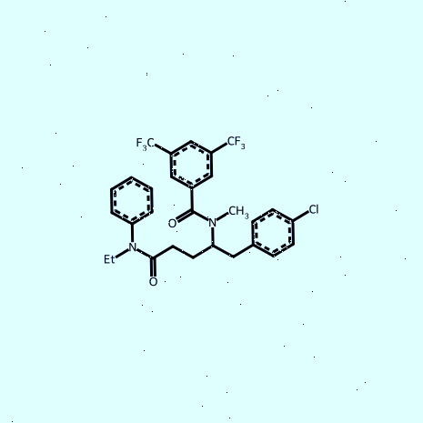 CCN(C(=O)CCC(Cc1ccc(Cl)cc1)N(C)C(=O)c1cc(C(F)(F)F)cc(C(F)(F)F)c1)c1ccccc1